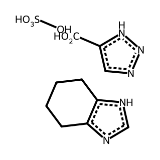 O=C(O)c1cnn[nH]1.O=S(=O)(O)O.c1nc2c([nH]1)CCCC2